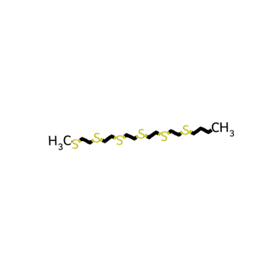 CCCCSCCSCCSCCSCCSCCSC